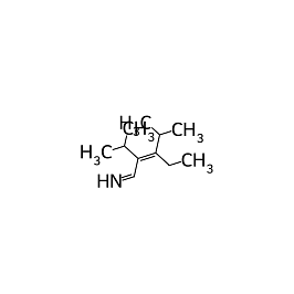 CC/C(=C(\C=N)C(C)C)C(C)C